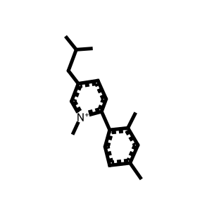 Cc1ccc(-c2ccc(CC(C)C)c[n+]2C)c(C)c1